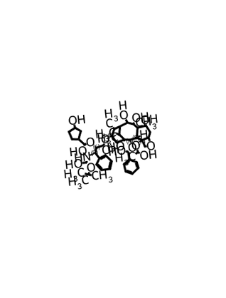 CC(O)O[C@]12COC1CC(O)C1(C)C(O)C(O)C3C(C)[C@H](OC(O)[C@@H](OC(O)C4CCC(O)C4)[C@H](NC(O)OC(C)(C)C)c4ccccc4)CC(O)([C@H](OC(O)c4ccccc4)[C@H]12)C3(C)C